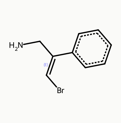 NC/C(=C/Br)c1ccccc1